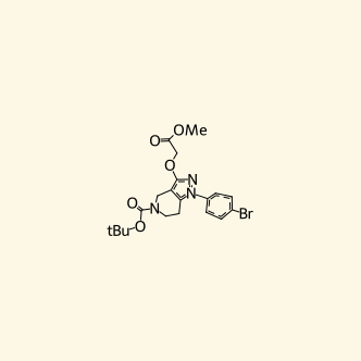 COC(=O)COc1nn(-c2ccc(Br)cc2)c2c1CN(C(=O)OC(C)(C)C)CC2